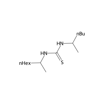 CCCCCCC(C)NC(=S)NC(C)CCCC